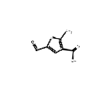 Cc1oc(C=O)cc1C(=O)O